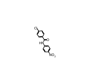 O=C(Nc1ccc([N+](=O)[O-])cc1)c1ccc(Cl)cc1